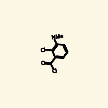 CNc1cccc(C(=O)Cl)c1Cl